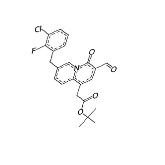 CC(C)(C)OC(=O)Cc1cc(C=O)c(=O)n2cc(Cc3cccc(Cl)c3F)ccc12